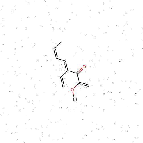 C=C/C(=C\C=C/C)C(=O)C(=C)OCC